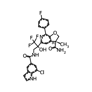 C[C@]1(C(N)=O)COc2c1cc(C(O)(CNC(=O)c1cc(Cl)c3[nH]ccc3c1)C(F)(F)F)nc2-c1ccc(F)cc1